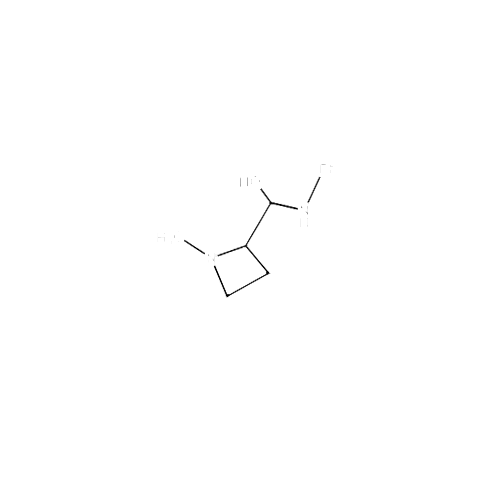 CCNC(O)C1CCN1C